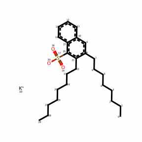 CCCCCCCCc1cc2ccccc2c(S(=O)(=O)[O-])c1CCCCCCCC.[K+]